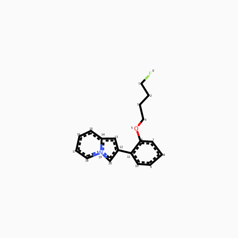 FCCCCOc1ccccc1-c1cc2ccccn2c1